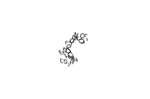 CCc1nc(OCc2cc3c(cnn3-c3ccccc3C(F)(F)F)cc2F)cc2c1[C@H]1[C@@H](C2)[C@@H]1C(=O)O